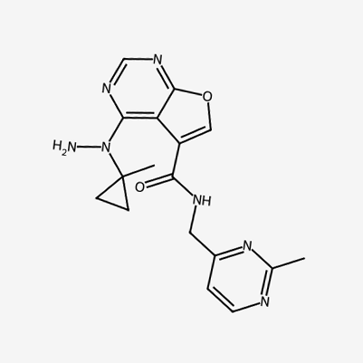 Cc1nccc(CNC(=O)c2coc3ncnc(N(N)C4(C)CC4)c23)n1